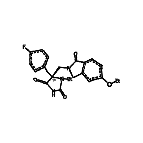 CCOc1ccc2c(c1)CN(C[C@]1(c3ccc(F)cc3)C(=O)NC(=O)N1CC)C2=O